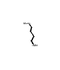 CNCCCC[NH]